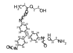 C=CC(=O)OCCO.NCCO.O=C=Nc1ccc(C(c2ccc(N=C=O)cc2)c2ccc(N=C=O)cc2)cc1